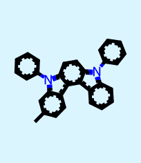 Cc1ccc2c3c4c5ccccc5n(-c5ccccc5)c4ccc3n(-c3ccccc3)c2c1